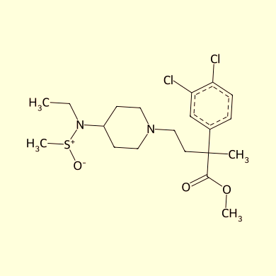 CCN(C1CCN(CCC(C)(C(=O)OC)c2ccc(Cl)c(Cl)c2)CC1)[S+](C)[O-]